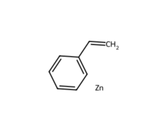 C=Cc1ccccc1.[Zn]